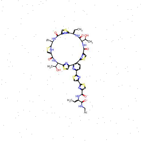 C/C=C(\NC(=O)c1csc(-c2csc(-c3ccc4c(n3)-c3csc(n3)C(C(C)O)NC(=O)C3=CSC(N3)C(C(C)C)NC(=O)c3csc(n3)/C(=C/C)NC(=O)C(C(C)O)NC(=O)c3csc-4n3)n2)n1)C(=O)NCC(C)=O